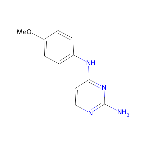 COc1ccc(Nc2ccnc(N)n2)cc1